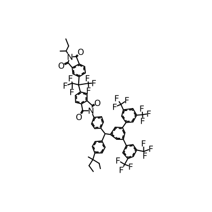 CCC(C)N1C(=O)c2ccc(C(c3ccc4c(c3)C(=O)N(c3ccc(C(c5ccc(C(C)(CC)CC)cc5)c5cc(-c6cc(C(F)(F)F)cc(C(F)(F)F)c6)cc(-c6cc(C(F)(F)F)cc(C(F)(F)F)c6)c5)cc3)C4=O)(C(F)(F)F)C(F)(F)F)cc2C1=O